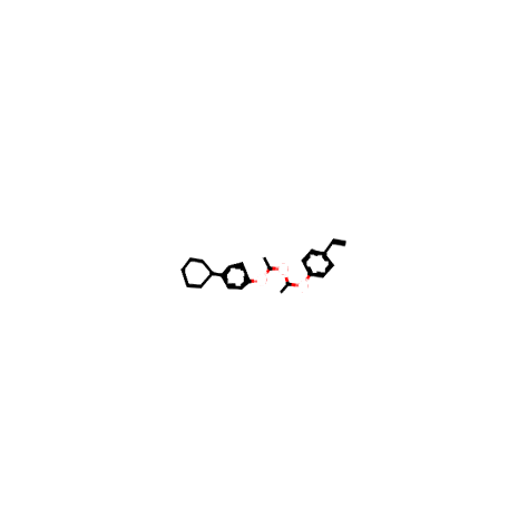 C=Cc1ccc(OC(C)OC(C)Oc2ccc(C3CCCCC3)cc2)cc1